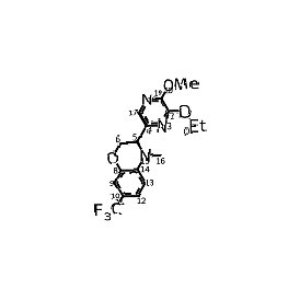 CCOc1nc(C2COc3cc(C(F)(F)F)ccc3N2C)cnc1OC